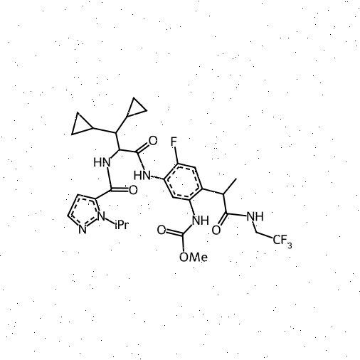 COC(=O)Nc1cc(NC(=O)C(NC(=O)c2ccnn2C(C)C)C(C2CC2)C2CC2)c(F)cc1C(C)C(=O)NCC(F)(F)F